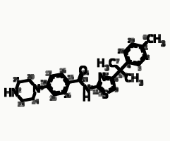 Cc1ccc(C(C)(C)c2csc(NC(=O)c3ccc(N4CCNCC4)cc3)n2)cc1